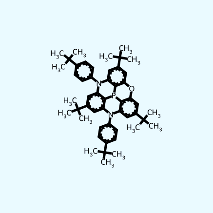 CC(C)(C)c1ccc(N2c3cc(C(C)(C)C)cc4c3P3c5c(cc(C(C)(C)C)cc5N(c5ccc(C(C)(C)C)cc5)c5cc(C(C)(C)C)cc2c53)O4)cc1